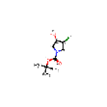 CC(C)(C)OC(=O)N1CC(F)[C@H](O)C1